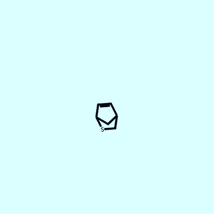 C1=CC2CC1CS2